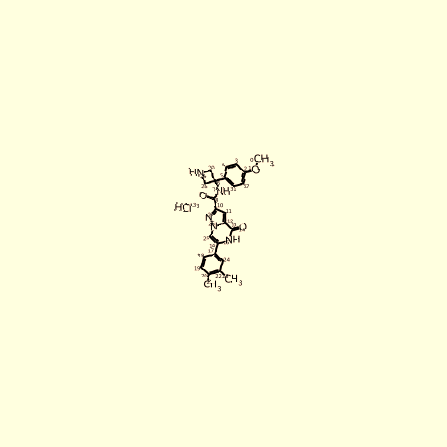 COc1ccc(C2(NC(=O)c3cc4c(=O)[nH]c(-c5ccc(C)c(C)c5)cn4n3)CNC2)cc1.Cl